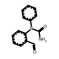 NC(=O)N(c1ccccc1)c1ccccc1[C]=O